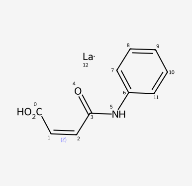 O=C(O)/C=C\C(=O)Nc1ccccc1.[La]